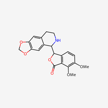 COc1ccc2c(c1OC)C(=O)OC2C1NCCc2cc3c(cc21)OCO3